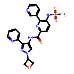 CS(=O)(=O)Nc1ccc(C(=O)Nc2cn(C3COC3)nc2-c2ccccn2)nc1-c1cccnc1